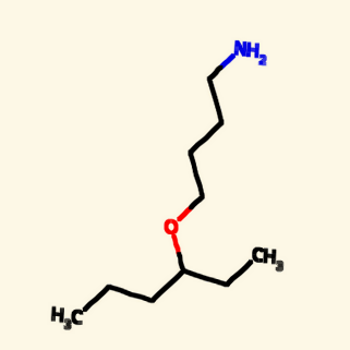 CCCC(CC)OCCCCN